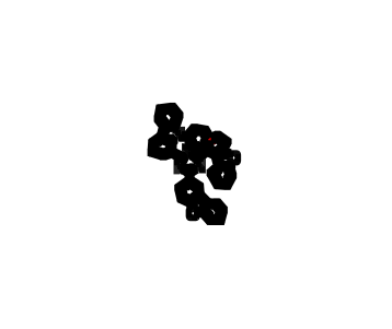 c1ccc(-n2c3ccccc3c3cccc(-c4nc(-c5ccc6oc7ccccc7c6c5)nc(-c5cccc6oc7ccccc7c56)n4)c32)cc1